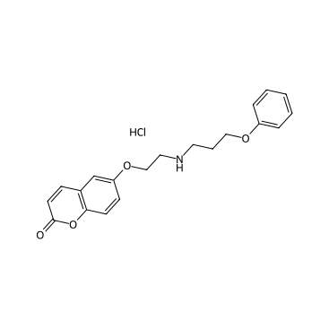 Cl.O=c1ccc2cc(OCCNCCCOc3ccccc3)ccc2o1